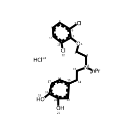 CCCN(CCOc1c(Cl)cccc1Cl)CCc1ccc(O)c(O)c1.Cl